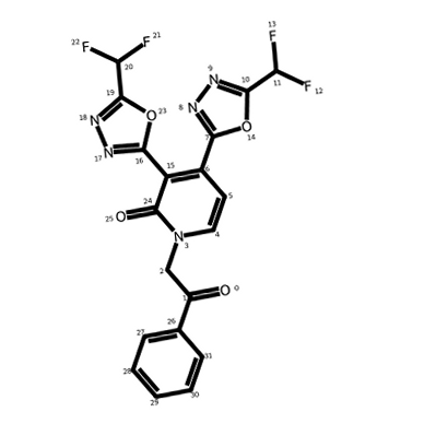 O=C(Cn1ccc(-c2nnc(C(F)F)o2)c(-c2nnc(C(F)F)o2)c1=O)c1ccccc1